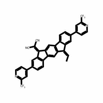 C/C=C1/c2cc(-c3ccnc(C(F)(F)F)c3)ccc2-c2cc3c(cc21)-c1ccc(-c2ccnc(C(F)(F)F)c2)cc1C3=C(C#N)C#N